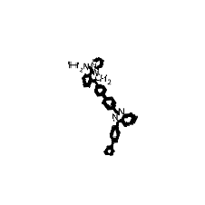 C=C(c1ccc(-c2ccc(-c3nc(-c4ccc(-c5ccccc5)cc4)c4ccccc4n3)cc2)cc1)c1ccccc1-c1nc2ccccn2c1N